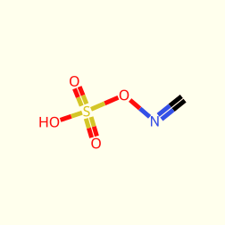 C=NOS(=O)(=O)O